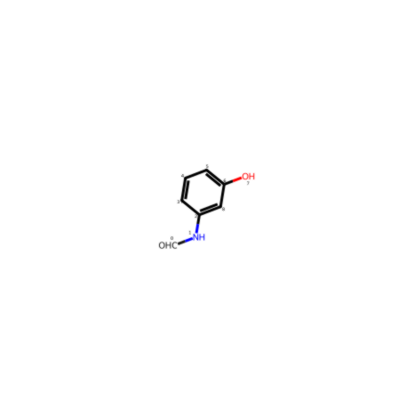 O=CNc1[c]ccc(O)c1